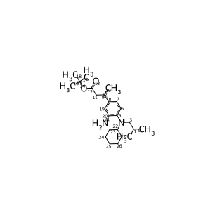 CC(C)CN(c1ccc([C@H](C)CC(=O)OC(C)(C)C)cc1N)C1CCCCC1